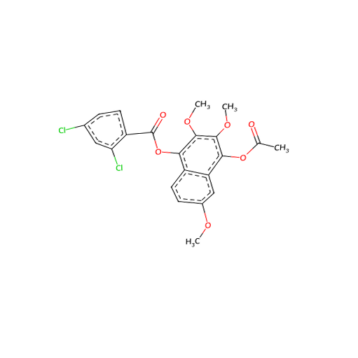 COc1ccc2c(OC(=O)c3ccc(Cl)cc3Cl)c(OC)c(OC)c(OC(C)=O)c2c1